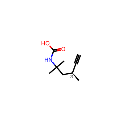 C#C[C@@H](C)CC(C)(C)NC(=O)O